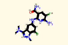 CN(C)c1nn(C)c2c(F)cc(Nc3nc(N)c(F)cc3C(N)=O)cc12